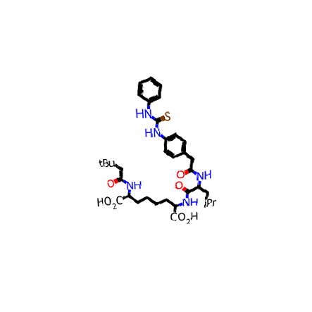 CC(C)CC(NC(=O)Cc1ccc(NC(=S)Nc2ccccc2)cc1)C(=O)NC(CCCCC(NC(=O)CC(C)(C)C)C(=O)O)C(=O)O